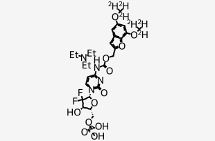 CCN(CC)CC.[2H]C([2H])([2H])Oc1cc(OC([2H])([2H])[2H])c2oc(COC(=O)Nc3ccn([C@@H]4O[C@H](COP(=O)(O)O)[C@@H](O)C4(F)F)c(=O)n3)cc2c1